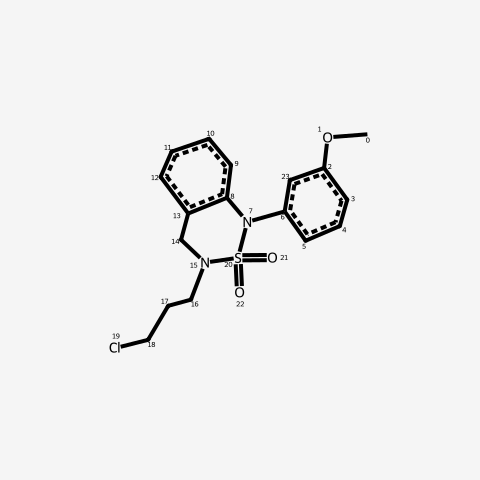 COc1cccc(N2c3ccccc3CN(CCCCl)S2(=O)=O)c1